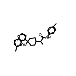 Cc1ccc(NC(=O)C(C)C2CCC(N=O)(c3ccnc4ccc(F)cc34)CC2)cc1